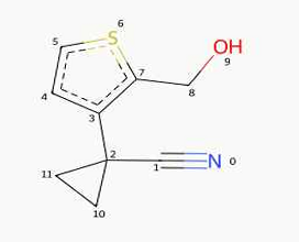 N#CC1(c2ccsc2CO)CC1